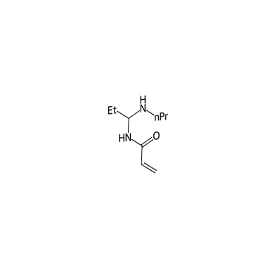 C=CC(=O)NC(CC)NCCC